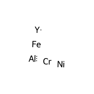 [Al].[Cr].[Fe].[Ni].[Y]